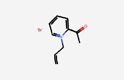 C=CC[n+]1ccccc1C(C)=O.[Br-]